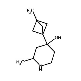 CC1CC(O)(C23CC(C(F)(F)F)(C2)C3)CCN1